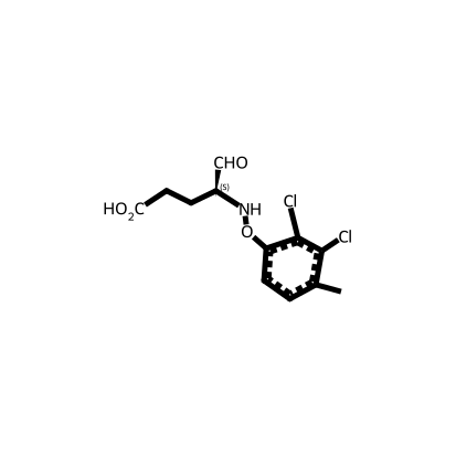 Cc1ccc(ON[C@H](C=O)CCC(=O)O)c(Cl)c1Cl